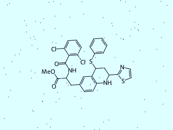 COC(=O)C(Cc1ccc2c(c1)C(Sc1ccccc1)CC(c1nccs1)N2)NC(=O)c1c(Cl)cccc1Cl